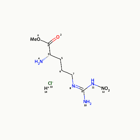 COC(=O)[C@@H](N)CCCN=C(N)N[N+](=O)[O-].[Cl-].[H+]